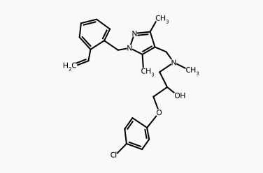 C=Cc1ccccc1Cn1nc(C)c(CN(C)CC(O)COc2ccc(Cl)cc2)c1C